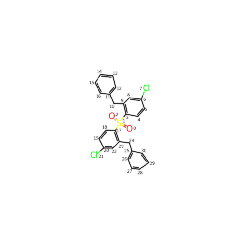 O=S(=O)(c1ccc(Cl)cc1Cc1ccccc1)c1ccc(Cl)cc1Cc1ccccc1